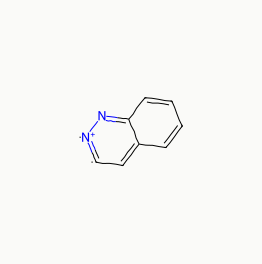 [C]1=[N+]N=c2ccccc2=C1